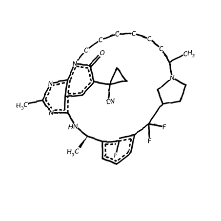 Cc1nc2c3cc(C4(C#N)CC4)c(=O)n(c3n1)CCCCCCC(C)N1CCC(C1)C(F)(F)c1cccc(c1F)[C@@H](C)N2